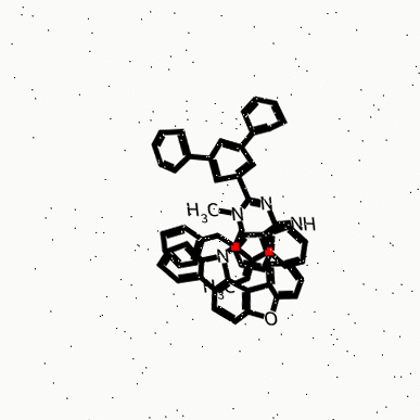 C/C=C(/c1ccccc1)C(Cc1ccccc1)(CN(C)/C(=N\C(=N)c1ccccc1)c1cc(-c2ccccc2)cc(-c2ccccc2)c1)n1c2ccccc2c2ccc3oc4ccccc4c3c21